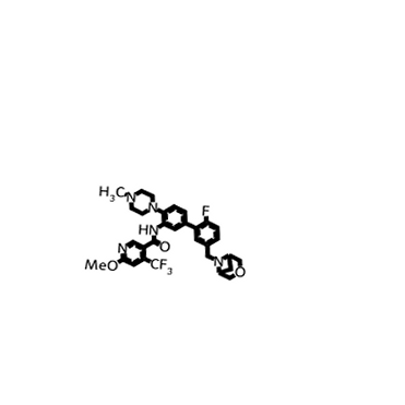 COc1cc(C(F)(F)F)c(C(=O)Nc2cc(-c3cc(CN4C5COCC4C5)ccc3F)ccc2N2CCN(C)CC2)cn1